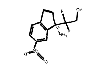 N[C@@]1(C(F)(F)CO)CCc2ccc([N+](=O)[O-])cc21